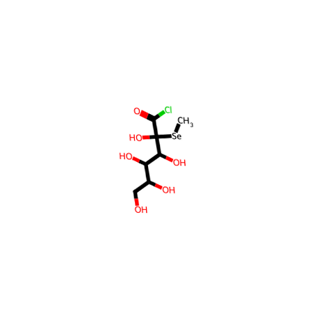 C[Se]C(O)(C(=O)Cl)C(O)C(O)C(O)CO